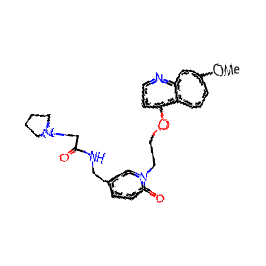 COc1ccc2c(OCCn3cc(CNC(=O)CN4CCCC4)ccc3=O)ccnc2c1